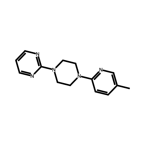 Cc1ccc(N2CCN(c3ncccn3)CC2)nc1